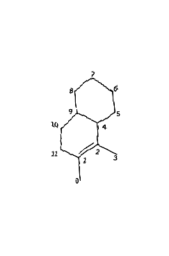 CC1=C(C)C2CCCCC2CC1